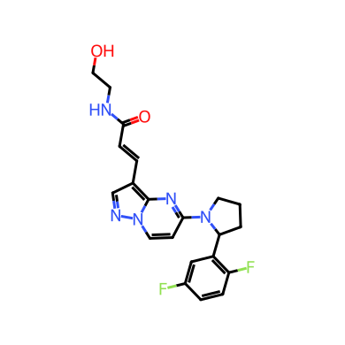 O=C(C=Cc1cnn2ccc(N3CCCC3c3cc(F)ccc3F)nc12)NCCO